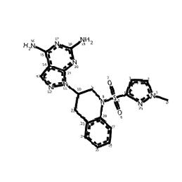 Cn1ccc(S(=O)(=O)N2CC(n3ncc4c(N)nc(N)nc43)Cc3ccccc32)n1